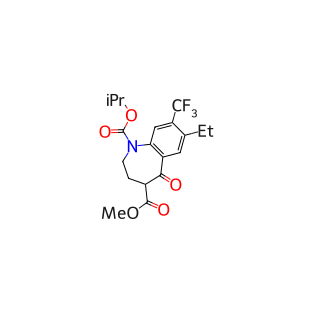 CCc1cc2c(cc1C(F)(F)F)N(C(=O)OC(C)C)CCC(C(=O)OC)C2=O